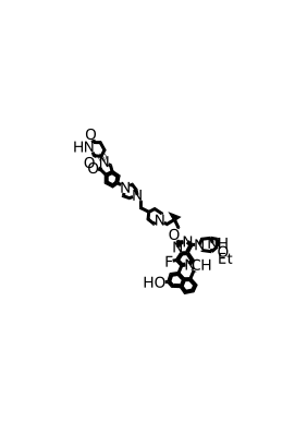 C#Cc1cccc2cc(O)cc(-c3ncc4c(N5CC6CC(OCC)C(C5)N6)nc(OCC5(CN6CCC(CCN7CCN(c8ccc9c(c8)CN([C@H]8CCC(=O)NC8=O)C9=O)CC7)CC6)CC5)nc4c3F)c12